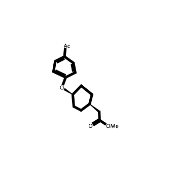 COC(=O)C[C@H]1CC[C@@H](Oc2ccc(C(C)=O)cc2)CC1